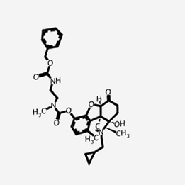 Cc1ccc(OC(=O)N(C)CCNC(=O)OCc2ccccc2)c2c1[C@]13CCN(CC4CC4)[C@H](C)[C@]1(O)CCC(=O)[C@@H]3O2